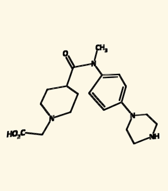 CN(C(=O)C1CCN(CC(=O)O)CC1)c1ccc(N2CCNCC2)cc1